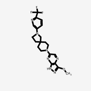 COc1n[nH]c2nc(N3CCC4(CCN(c5ccc(C(F)(F)F)nc5)C4)CC3)cnc12